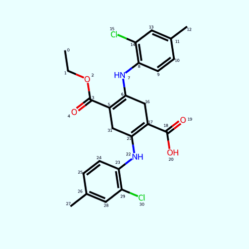 CCOC(=O)C1=C(Nc2ccc(C)cc2Cl)CC(C(=O)O)=C(Nc2ccc(C)cc2Cl)C1